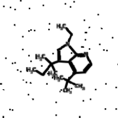 CCn1cc(C(C)(C)CC)c2c(C(C)(C)C)ccnc21